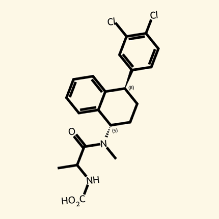 CC(NC(=O)O)C(=O)N(C)[C@H]1CC[C@H](c2ccc(Cl)c(Cl)c2)c2ccccc21